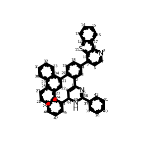 C1=C(c2cc(-c3ccnc4c3sc3ccccc34)ccc2-c2cc3ccccc3c3ccccc23)N=C(c2ccccc2)NC1c1ccccc1